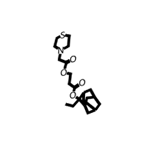 CCC1(OC(=O)CCOC(=O)CN2CCSCC2)C2CC3CC(C2)CC1C3